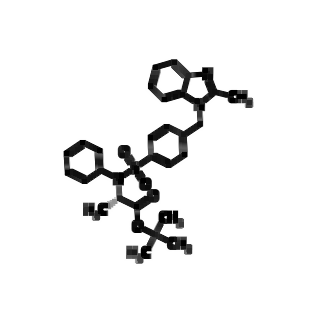 Cc1nc2ccccc2n1Cc1ccc(S(=O)(=O)N(c2ccccc2)[C@@H](C)C(=O)OC(C)(C)C)cc1